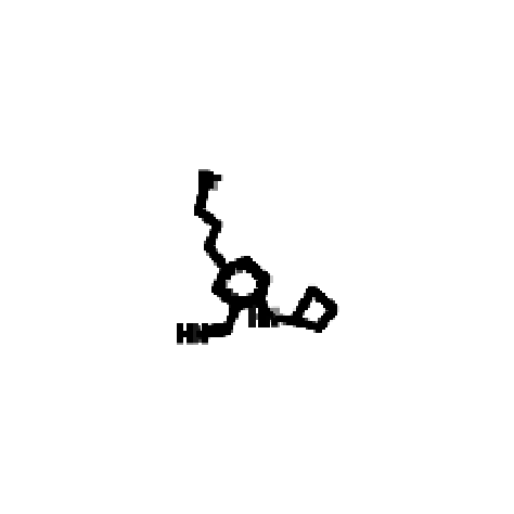 N=Cc1cc(CCCBr)ccc1NC1CCC1